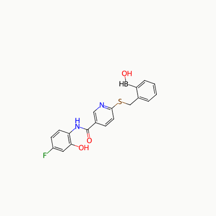 O=C(Nc1ccc(F)cc1O)c1ccc(SCc2ccccc2BO)nc1